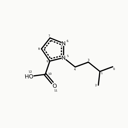 CC(C)CCn1nccc1C(=O)O